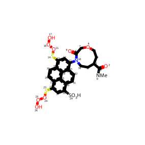 CNC(=O)C1CCOCC(=O)N(c2cc(SOOO)c3ccc4c(SOOO)cc(S(=O)(=O)O)c5ccc2c3c45)CC1